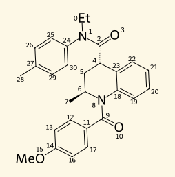 CCN(C(=O)[C@H]1C[C@H](C)N(C(=O)c2ccc(OC)cc2)c2ccccc21)c1ccc(C)cc1